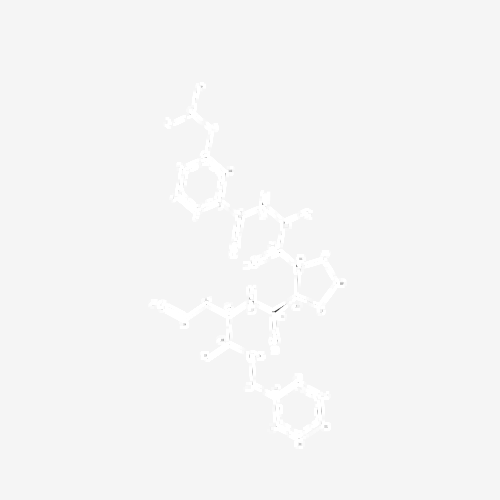 CC(C)Cc1cccc(C(=O)NC(C)C(=O)N2CCC[C@H]2C(=O)NC(CC=O)C(C)OCc2ccccc2)c1